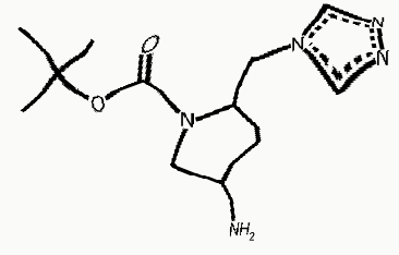 CC(C)(C)OC(=O)N1CC(N)CC1Cn1cnnc1